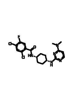 CN(C)c1ccnc(N[C@H]2CC[C@@H](NC(=O)c3cc(F)c(Cl)cc3Cl)CC2)n1